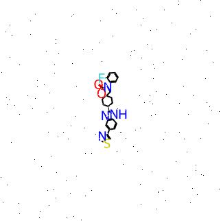 O=C1O[C@]2(CC[C@H](c3nc4cc(-c5cscn5)ccc4[nH]3)CC2)CN1c1ccccc1F